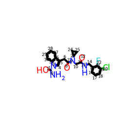 NC(O)n1cc(CC(=O)N(CC(=O)NCc2cccc(Cl)c2F)C2CC2)c2ccccc21